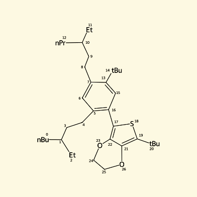 CCCCC(CC)CCc1cc(CCC(CC)CCC)c(C(C)(C)C)cc1-c1sc(C(C)(C)C)c2c1OCCO2